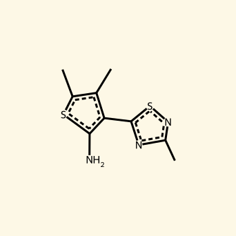 Cc1nsc(-c2c(N)sc(C)c2C)n1